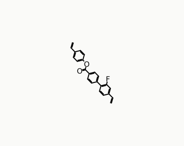 C=Cc1ccc(OC(=O)c2ccc(-c3ccc(C=C)cc3F)cc2)cc1